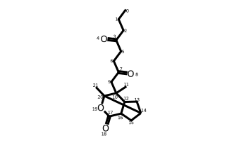 CCCC(=O)CCC(=O)CC1(C)C2CC3CC2C(=O)OC31C